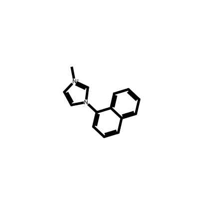 C[n+]1ccn(-c2cccc3ccccc23)c1